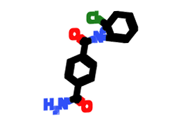 NC(=O)c1ccc(C(=O)N2C3=CC=CCC32Cl)cc1